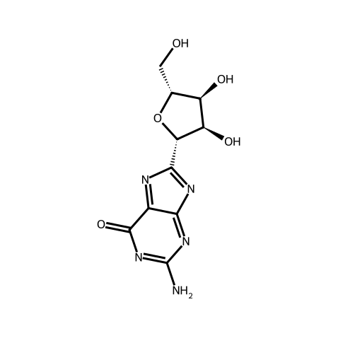 NC1=NC(=O)C2=NC([C@@H]3O[C@H](CO)[C@@H](O)[C@H]3O)=NC2=N1